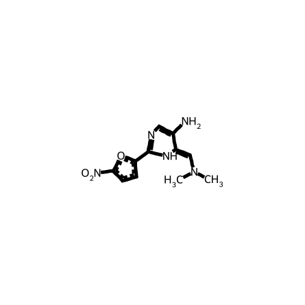 CN(C)C=C1NC(c2ccc([N+](=O)[O-])o2)=NC=C1N